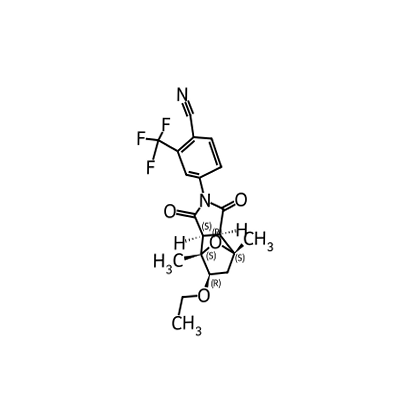 CCO[C@@H]1C[C@]2(C)O[C@@]1(C)[C@H]1C(=O)N(c3ccc(C#N)c(C(F)(F)F)c3)C(=O)[C@H]12